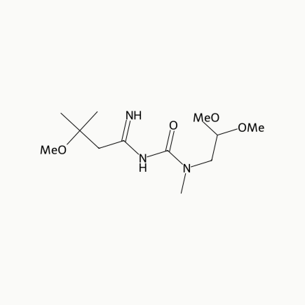 COC(CN(C)C(=O)NC(=N)CC(C)(C)OC)OC